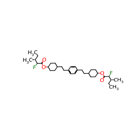 CC[C@H](C)[C@H](F)C(=O)OC1CCC(CCc2ccc(CCC3CCC(OC(=O)[C@@H](F)[C@@H](C)CC)CC3)cc2)CC1